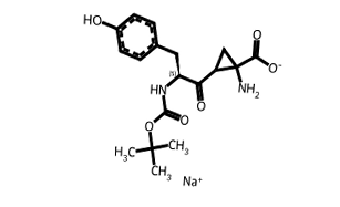 CC(C)(C)OC(=O)N[C@@H](Cc1ccc(O)cc1)C(=O)C1CC1(N)C(=O)[O-].[Na+]